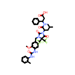 COc1cc(CN2C(=O)N(C(CC(C)C)C(=O)NC(CC(=O)O)c3ccccc3)C(=O)C2(C(F)(F)F)C(F)(F)F)ccc1NC(=O)Nc1ccccc1C